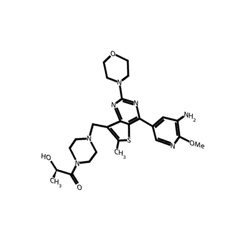 COc1ncc(-c2nc(N3CCOCC3)nc3c(CN4CCN(C(=O)[C@@H](C)O)CC4)c(C)sc23)cc1N